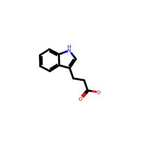 [O]C(=O)CCc1c[nH]c2ccccc12